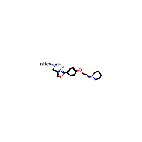 CCCCCCN(C)Cc1coc(-c2ccc(OCCCN3CCCCC3)cc2)n1